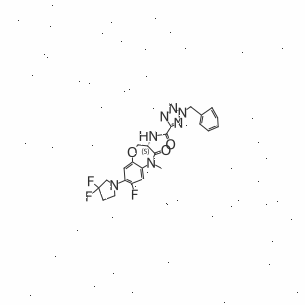 CN1C(=O)[C@@H](NC(=O)c2nnn(Cc3ccccc3)n2)COc2cc(N3CCC(F)(F)C3)c(F)cc21